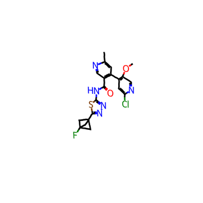 COc1cnc(Cl)cc1-c1cc(C)ncc1C(=O)Nc1nnc(C23CC(F)(C2)C3)s1